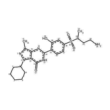 Cc1nn(C2CCCCC2)c2c(=O)[nH]c(-c3ccc(S(=O)(=O)N(C)CCN)cc3O)nc12